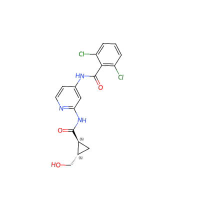 O=C(Nc1ccnc(NC(=O)[C@H]2C[C@@H]2CO)c1)c1c(Cl)cccc1Cl